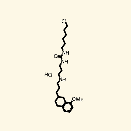 COc1cccc2c1CC(CCCNCCCNC(=O)NCCCCCCCl)CC2.Cl